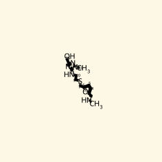 CNCc1ccc(CSCCNc2nc(CO)nn2C)o1